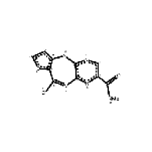 CNC(=O)c1cnc2c(n1)N=C(Cl)c1occc1S2